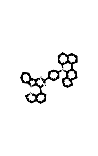 c1ccc2c3c(ccc2c1)-c1cccc2cccc(c12)N3c1ccc(-c2nc(-c3cccc4cccnc34)c3sc4ccccc4c3n2)cc1